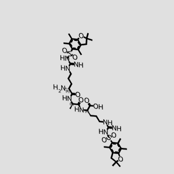 Cc1c(C)c(S(=O)(=O)NC(=N)NCCC[C@@H](N)C(=O)N[C@H](C)C(=O)N[C@H](CCCNC(=N)NS(=O)(=O)c2c(C)c(C)c3c(c2C)CC(C)(C)O3)C(=O)O)c(C)c2c1OC(C)(C)C2